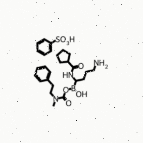 CN(CCc1ccccc1)C(=O)OB(O)C(CCCN)NC(=O)C1CCCC1.O=S(=O)(O)c1ccccc1